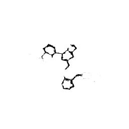 CCOC(=O)Cc1ccccc1OCc1cc(-c2cccc([C@@H](C)N)c2F)c2occc2c1